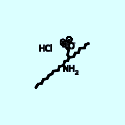 CCCCCCCCCCC(N)CCC(CCCCCCC)CCC[Si](OC)(OC)OC.Cl